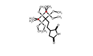 CO[Si](OC)(OC)C(CCC1CC(=O)NC1=O)([Si](OC)(OC)OC)[Si](OC)(OC)OC